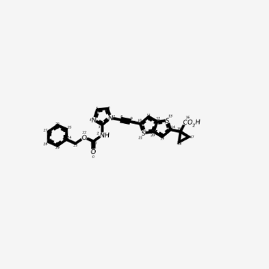 O=C(Nc1nccn1C#Cc1cc2sc(C3(C(=O)O)CC3)cc2s1)OCc1ccccc1